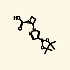 CC1(C)OB(c2cnn(C3CCN3C(=O)O)c2)OC1(C)C